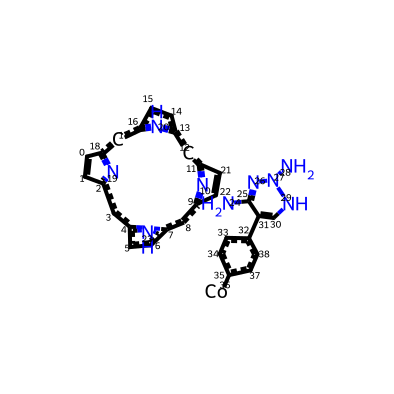 C1=Cc2cc3ccc(cc4nc(cc5ccc(cc1n2)[nH]5)C=C4)[nH]3.NC1=NN(N)NC=C1c1cc[c]([Co])cc1